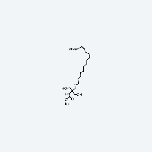 CCCCC/C=C\C/C=C\CCCCCCCCOCC(CO)(CO)NC(=O)OC(C)(C)C